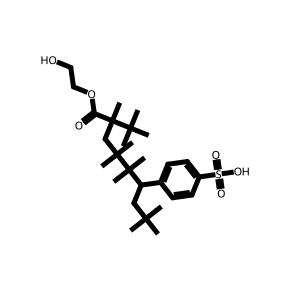 CC(C)(C)CC(c1ccc(S(=O)(=O)O)cc1)C(C)(C)C(C)(C)CC(C)(C(=O)OCCO)C(C)(C)C